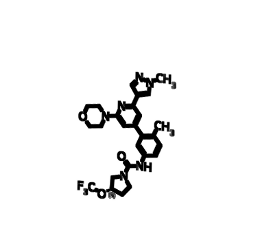 Cc1ccc(NC(=O)N2CC[C@H](OC(F)(F)F)C2)cc1-c1cc(-c2cnn(C)c2)nc(N2CCOCC2)c1